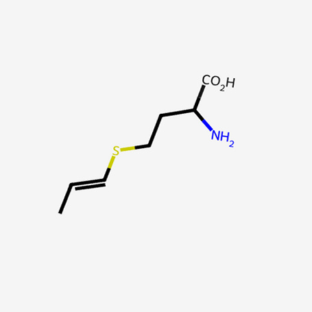 CC=CSCCC(N)C(=O)O